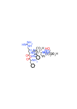 CC(C)C[C@H](N)C(=O)O.N=C(N)NCCC[C@H](N)C(=O)OC(=O)[C@@H](N)Cc1ccccc1.NCC(=O)O.N[C@@H](CO)C(=O)O.N[C@@H](Cc1c[nH]c2ccccc12)C(=O)O